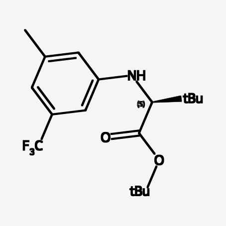 Cc1cc(N[C@H](C(=O)OC(C)(C)C)C(C)(C)C)cc(C(F)(F)F)c1